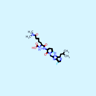 CC(C)Cc1ncc(F)c2nc(Cn3c(F)ccc(NC(=O)C(CCC=CC(=O)N(C)C)NC(=O)O)c3=O)[nH]c12